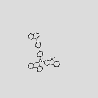 CC1(C)c2ccccc2-c2ccc(N(c3ccc(-c4ccc(-c5cccc6ccccc56)cc4)cc3)c3cc4ccccc4c4ccccc34)cc21